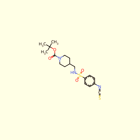 CC(C)(C)OC(=O)N1CCC(CNS(=O)(=O)c2ccc(N=C=S)cc2)CC1